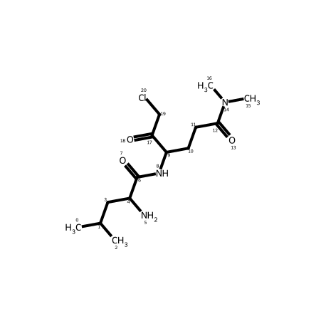 CC(C)CC(N)C(=O)NC(CCC(=O)N(C)C)C(=O)CCl